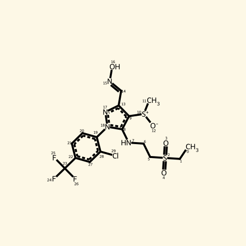 CCS(=O)(=O)CCNc1c([S+](C)[O-])c(C=NO)nn1-c1ccc(C(F)(F)F)cc1Cl